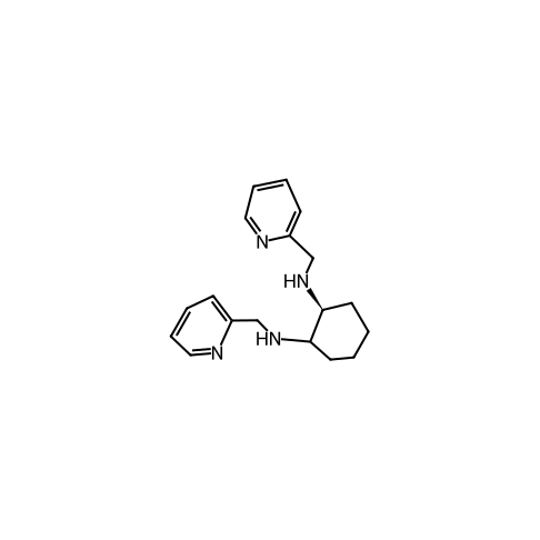 c1ccc(CNC2CCCC[C@@H]2NCc2ccccn2)nc1